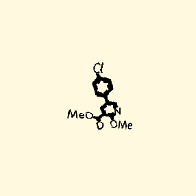 COC(=O)c1cc(-c2ccc(Cl)cc2)cnc1OC